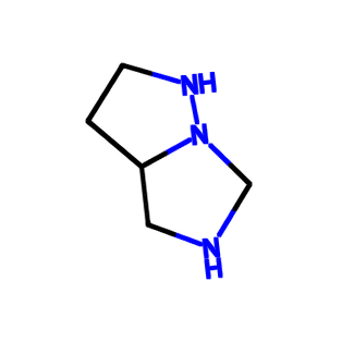 C1CC2CNCN2N1